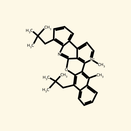 Cc1c2c(c(CC(C)(C)C)c3ccccc13)Oc1nc3c(CC(C)(C)C)cccc3c3cc[n+](C)c-2c13